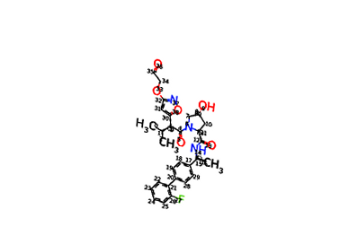 CC(C)[C@H](C(=O)N1C[C@H](O)C[C@H]1C(=O)N[C@@H](C)c1ccc(-c2ccccc2F)cc1)c1cc(OCC=O)no1